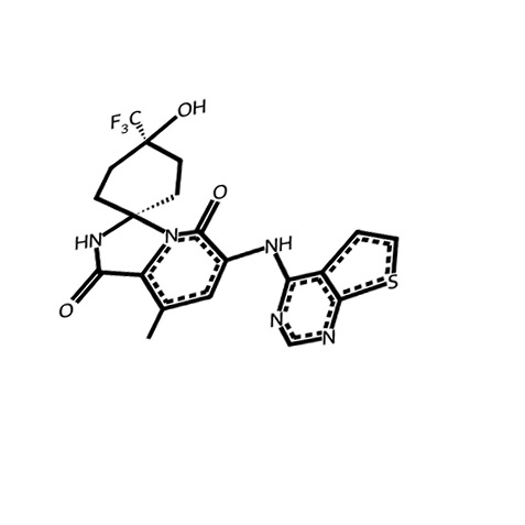 Cc1cc(Nc2ncnc3sccc23)c(=O)n2c1C(=O)N[C@]21CC[C@@](O)(C(F)(F)F)CC1